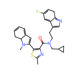 Cc1nc(C(=O)N(CCC2=CN=C3CC=C(F)C=C23)CC2CC2)c(C2=CC3=CC=CCC3N2C)s1